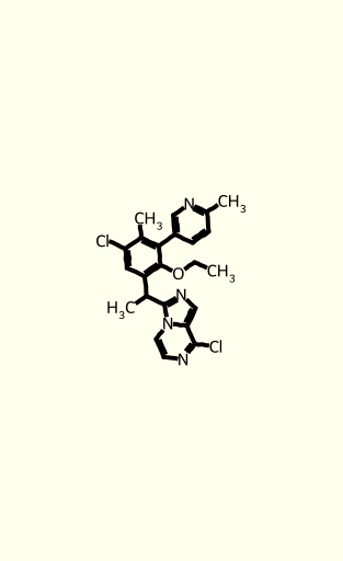 CCOc1c(C(C)c2ncc3c(Cl)nccn23)cc(Cl)c(C)c1-c1ccc(C)nc1